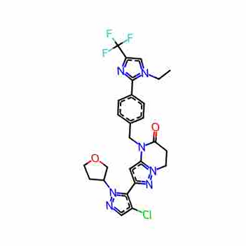 CCn1cc(C(F)(F)F)nc1-c1ccc(CN2C(=O)CCn3nc(-c4c(Cl)cnn4C4CCOC4)cc32)cc1